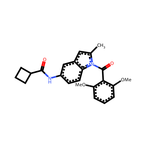 COc1cccc(OC)c1C(=O)n1c(C)cc2cc(NC(=O)C3CCC3)ccc21